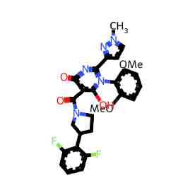 COc1cccc(OC)c1-n1c(-c2ccn(C)n2)nc(=O)c(C(=O)N2CCC(c3c(F)cccc3F)C2)c1O